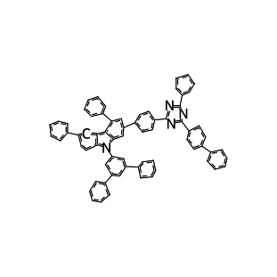 c1ccc(-c2ccc(-c3nc(-c4ccccc4)nc(-c4ccc(-c5cc(-c6ccccc6)c6c7cc(-c8ccccc8)ccc7n(-c7cc(-c8ccccc8)cc(-c8ccccc8)c7)c6c5)cc4)n3)cc2)cc1